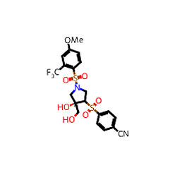 COc1ccc(S(=O)(=O)N2CC(S(=O)(=O)c3ccc(C#N)cc3)[C@](O)(CO)C2)c(C(F)(F)F)c1